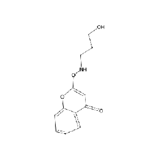 O=c1cc(ONCCCO)oc2ccccc12